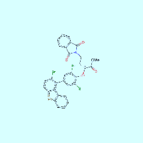 COC(=O)[C@@H](CCN1C(=O)c2ccccc2C1=O)Oc1c(Br)cc(-c2c(Br)ccc3sc4ccccc4c23)cc1Br